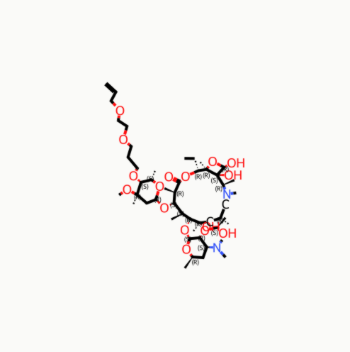 C=CCOCCOCCCO[C@H]1[C@H](C)O[C@@H](O[C@H]2[C@H](C)[C@@H](O[C@@H]3O[C@H](C)C[C@H](N(C)C)[C@H]3O[C@@H](C)O)[C@](C)(O)C[C@@H](C)CN(C)[C@H](C)[C@@]3(O)[C@H](O)O[C@]3(C)[C@@H](CC)OC(=O)[C@@H]2C)C[C@@]1(C)OC